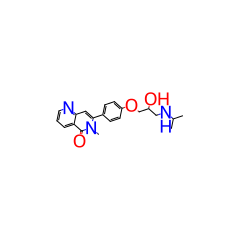 CC(C)NCC(O)COc1ccc(-c2cc3ncccc3c(=O)n2C)cc1